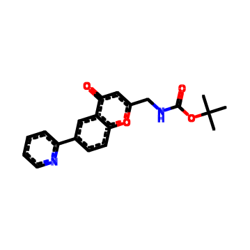 CC(C)(C)OC(=O)NCc1cc(=O)c2cc(-c3ccccn3)ccc2o1